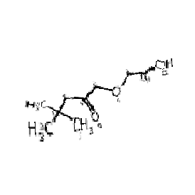 CC(C)(C)CC(=O)COCCO